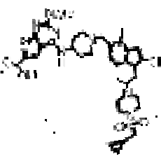 CNc1nc(NC2CCN(Cc3ccc4c(c3C)C=C(C#N)C4C[C@H](C)N3CCN(S(=O)(=O)CC4CC4)CC3)CC2)c2cc(C(O)C(F)(F)F)sc2n1